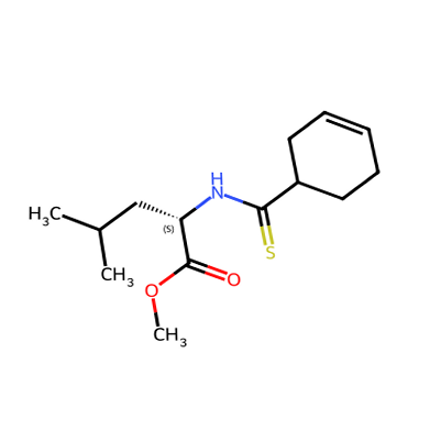 COC(=O)[C@H](CC(C)C)NC(=S)C1CC=CCC1